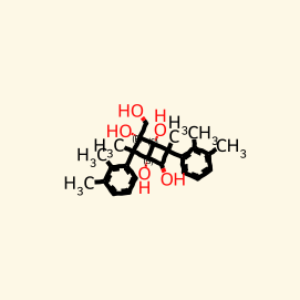 Cc1cccc(C2(C)C(O)[C@@]3(O)C(C)(c4cccc(C)c4C)[C@@](O)(CO)[C@@]23O)c1C